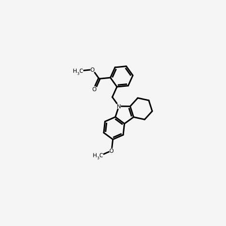 COC(=O)c1ccccc1Cn1c2c(c3cc(OC)ccc31)CCCC2